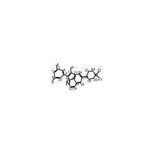 CC1=C(c2cc(C)cc(C)c2)c2nccc3cc(C4CCC(C)(C)CC4)cc1c23